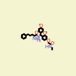 CCNC(=O)COc1ccc(C(NC(=O)[C@@H](N)CCCc2ccccc2)c2ccc(OC)cc2OC)cc1